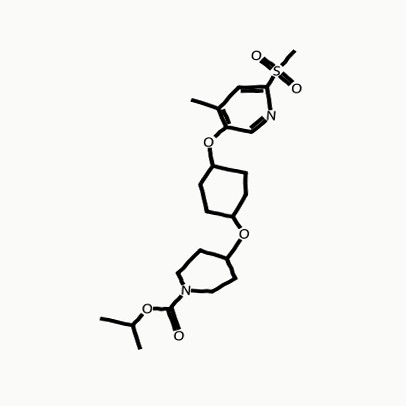 Cc1cc(S(C)(=O)=O)ncc1OC1CCC(OC2CCN(C(=O)OC(C)C)CC2)CC1